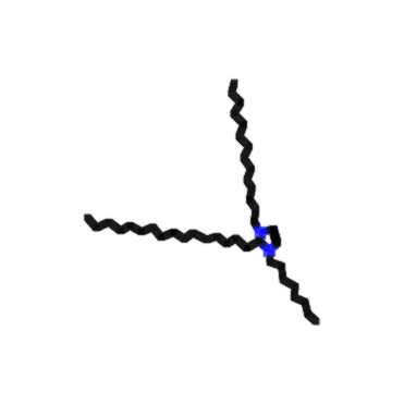 CCCCCCCCCCCCCCCCC1N(CCCCCCCC)C=CN1CCCCCCCCCCCCCC